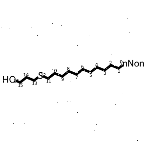 CCCCCCCCCCCCCCCCCCCCSCCCO